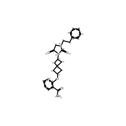 NC(=O)c1cccnc1OC1CC2(C1)CC(N1C(=O)CN(CCc3ccccc3)C1=O)C2